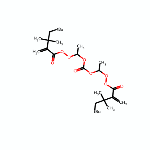 C=C(C(=O)OOC(C)OC(=O)OC(C)OOC(=O)C(=C)C(C)(C)CC(C)(C)C)C(C)(C)CC(C)(C)C